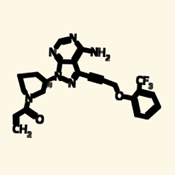 C=CC(=O)N1CCC[C@@H](n2nc(C#CCOc3ccccc3C(F)(F)F)c3c(N)ncnc32)C1